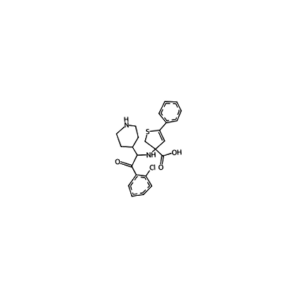 O=C(c1ccccc1Cl)C(NC1(C(=O)O)C=C(c2ccccc2)SC1)C1CCNCC1